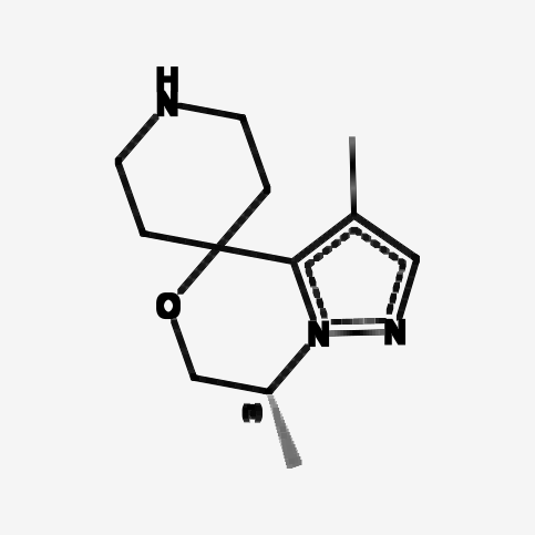 Cc1cnn2c1C1(CCNCC1)OC[C@H]2C